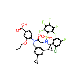 CCCOc1cc(C(=O)O)ccc1N(Cc1cc(C2CC2)cc(C2CC2)c1)C(=O)CN(Cc1ccc(F)cc1Cl)S(=O)(=O)c1c(F)c(F)c(F)c(F)c1F